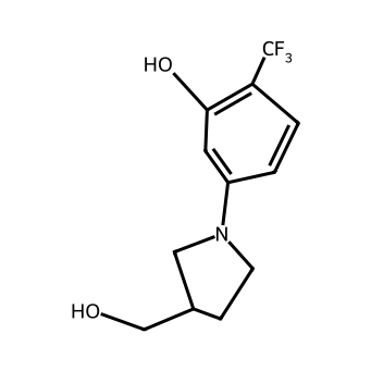 OCC1CCN(c2ccc(C(F)(F)F)c(O)c2)C1